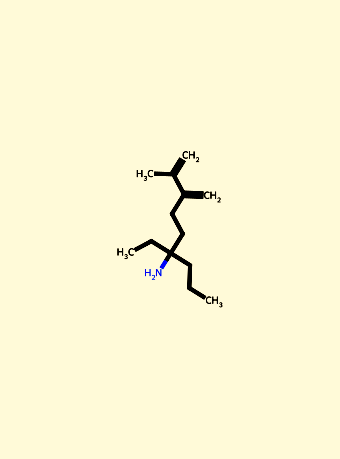 C=C(C)C(=C)CCC(N)(CC)CCC